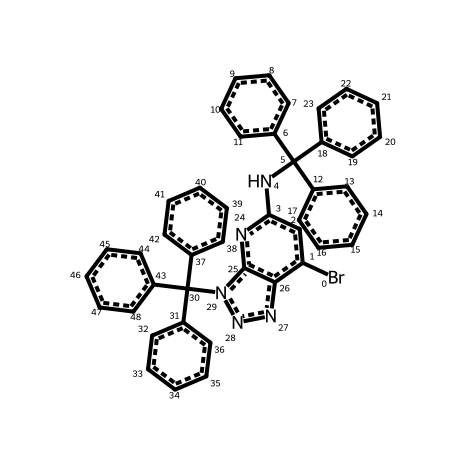 Brc1cc(NC(c2ccccc2)(c2ccccc2)c2ccccc2)nc2c1nnn2C(c1ccccc1)(c1ccccc1)c1ccccc1